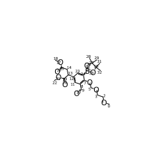 COCCOCOc1c(C=O)cc(C(CC(=O)OC)C(=O)OC)cc1B1OC(C)(C)C(C)(C)O1